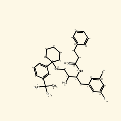 CC(C)(C)c1cccc(C2(NCC(O)C(Cc3cc(F)cc(F)c3)NC(=O)CCc3ccccc3)CCCCC2)c1